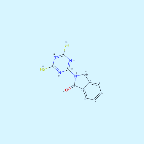 O=c1c2ccccc2[se]n1-c1nc(S)nc(S)n1